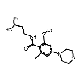 CCSc1nc(N2CCOCC2)cc(C)c1C(=O)NCCC(O)C(C)C